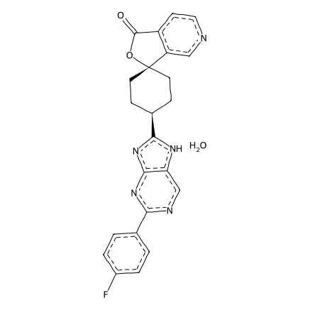 O.O=C1O[C@]2(CC[C@H](c3nc4nc(-c5ccc(F)cc5)ncc4[nH]3)CC2)c2cnccc21